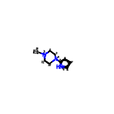 CCN1CCN(c2ccc[nH]2)CC1